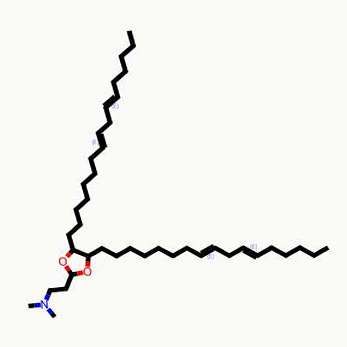 CCCCC/C=C/C/C=C/CCCCCCCC1OC(CCN(C)C)OC1CCCCCCC/C=C/C/C=C/CCCCC